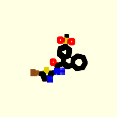 CS(=O)(=O)c1ccc(/C(=C\C2CCCCCC2)C(=O)Nc2ncc(Br)s2)cc1